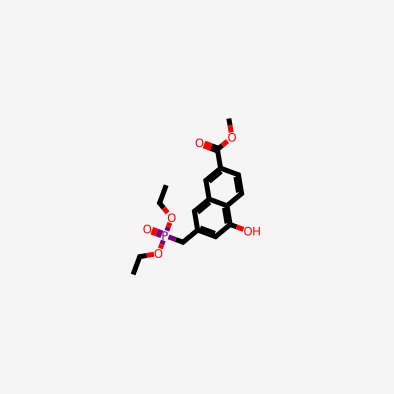 CCOP(=O)(Cc1cc(O)c2ccc(C(=O)OC)cc2c1)OCC